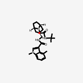 Cc1cccc2c1c(C(=O)NC[C@@H]1C[C@H]3CC[C@@H](C1)N3CC(=O)NC(C)(C)C)cn2C